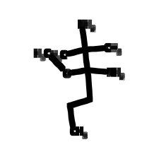 CCCC(N)(OC)C(C)(C)N